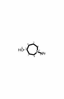 CC(C)N1CCC[C@@H](O)CC1